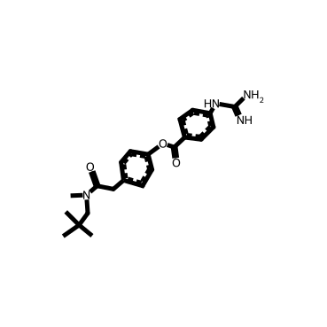 CN(CC(C)(C)C)C(=O)Cc1ccc(OC(=O)c2ccc(NC(=N)N)cc2)cc1